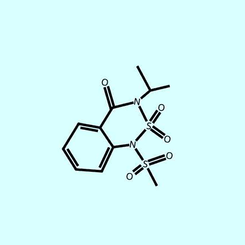 CC(C)N1C(=O)c2ccccc2N(S(C)(=O)=O)S1(=O)=O